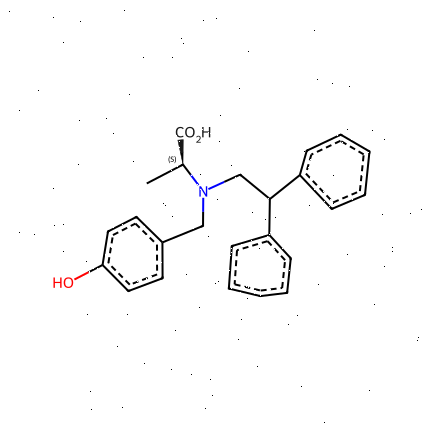 C[C@@H](C(=O)O)N(Cc1ccc(O)cc1)CC(c1ccccc1)c1ccccc1